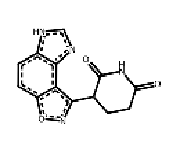 O=C1CCC(c2noc3ccc4[nH]cnc4c23)C(=O)N1